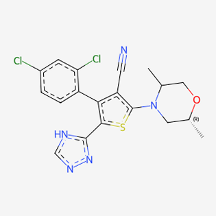 CC1CO[C@H](C)CN1c1sc(-c2nnc[nH]2)c(-c2ccc(Cl)cc2Cl)c1C#N